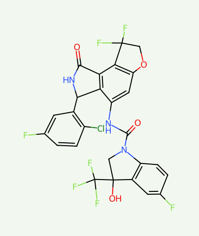 O=C1NC(c2cc(F)ccc2Cl)c2c(NC(=O)N3CC(O)(C(F)(F)F)c4cc(F)ccc43)cc3c(c21)C(F)(F)CO3